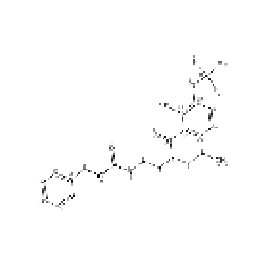 CCCC(CCNC(=O)OCc1ccccc1)C(=O)c1cccc(OC(F)(F)F)c1F